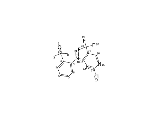 CP(C)(=O)c1ccccc1Nc1nc(Cl)ncc1C(F)(F)F